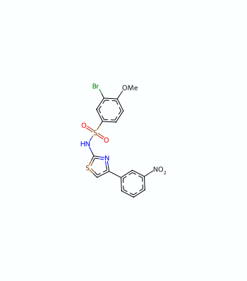 COc1ccc(S(=O)(=O)Nc2nc(-c3cccc([N+](=O)[O-])c3)cs2)cc1Br